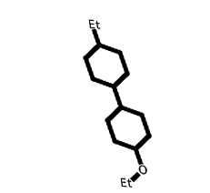 CCOC1CCC(C2CCC(CC)CC2)CC1